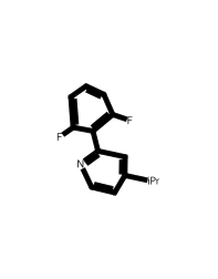 CC(C)c1ccnc(-c2c(F)cccc2F)c1